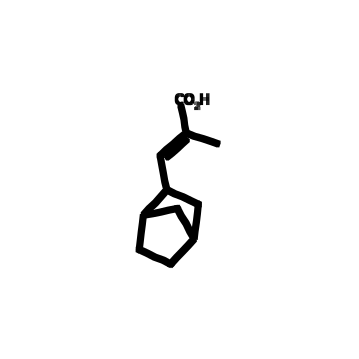 CC(=CC1CC2CCC1C2)C(=O)O